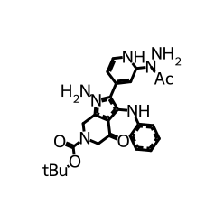 CC(=O)N(N)C1C=C(c2c(Nc3ccccc3)c3c(n2N)CN(C(=O)OC(C)(C)C)CC3=O)C=CN1